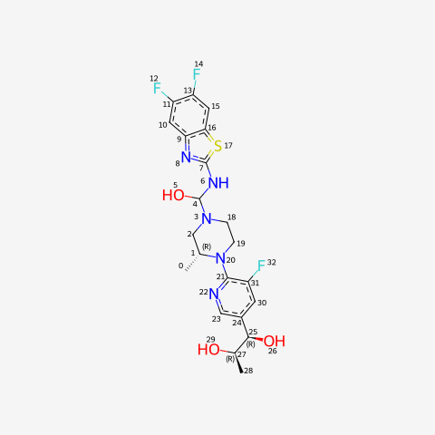 C[C@@H]1CN(C(O)Nc2nc3cc(F)c(F)cc3s2)CCN1c1ncc([C@@H](O)[C@@H](C)O)cc1F